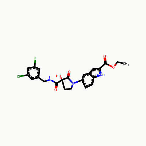 CCOC(=O)c1cc2cc(N3CC[C@](O)(C(=O)NCc4cc(F)cc(Cl)c4)C3=O)ccc2[nH]1